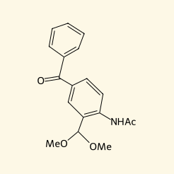 COC(OC)c1cc(C(=O)c2ccccc2)ccc1NC(C)=O